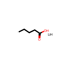 [CH2]CCCC(=O)O.[LiH]